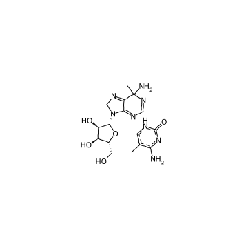 CC1(N)N=CN=C2C1=NCN2[C@@H]1O[C@H](CO)[C@@H](O)[C@H]1O.Cc1c[nH]c(=O)nc1N